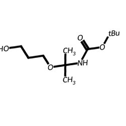 CC(C)(C)OC(=O)NC(C)(C)OCCCO